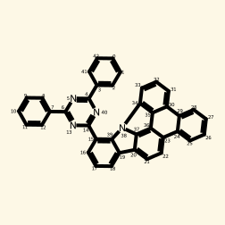 c1ccc(-c2nc(-c3ccccc3)nc(-c3cccc4c5ccc6c7ccccc7c7cccc8c7c6c5n8c34)n2)cc1